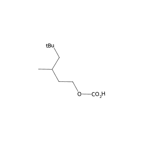 CC(CCOC(=O)O)CC(C)(C)C